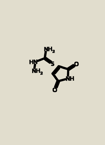 NNC(N)=S.O=C1C=CC(=O)N1